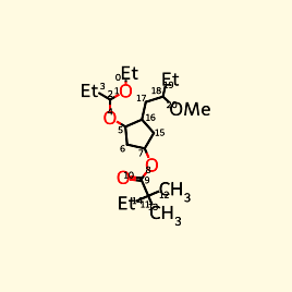 CCOC(CC)OC1CC(OC(=O)C(C)(C)CC)CC1CC(CC)OC